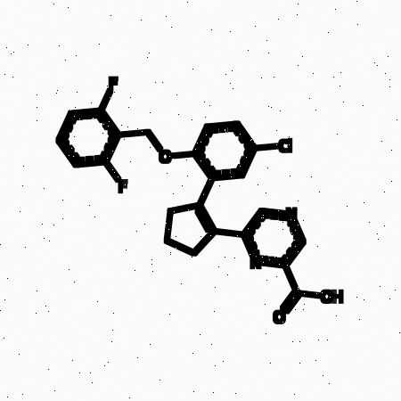 O=C(O)c1cncc(C2=C(c3cc(Cl)ccc3OCc3c(F)cccc3F)CCC2)n1